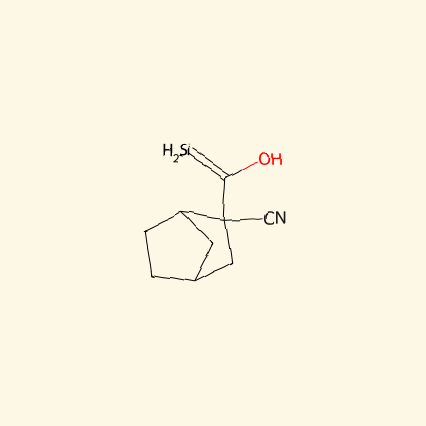 N#CC1(C(O)=[SiH2])CC2CCC1C2